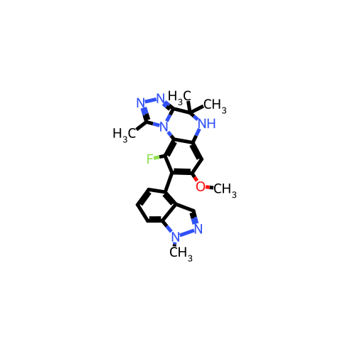 COc1cc2c(c(F)c1-c1cccc3c1cnn3C)-n1c(C)nnc1C(C)(C)N2